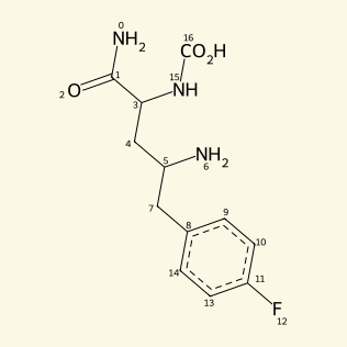 NC(=O)C(CC(N)Cc1ccc(F)cc1)NC(=O)O